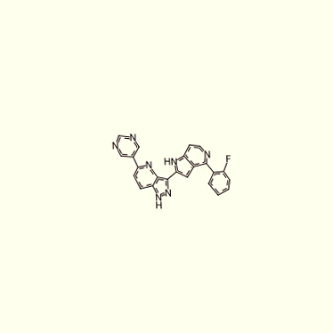 Fc1ccccc1-c1nccc2[nH]c(-c3n[nH]c4ccc(-c5cncnc5)nc34)cc12